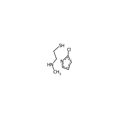 CNCCS.Clc1nccs1